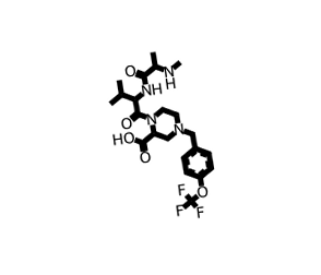 CNC(C)C(=O)NC(C(=O)N1CCN(Cc2ccc(OC(F)(F)F)cc2)CC1C(=O)O)C(C)C